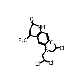 O=c1cc(C(F)(F)F)c2cc(N(CC(Cl)Cl)CC(Cl)Cl)ccc2[nH]1